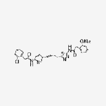 COc1ccccc1CC(=O)Nc1nnc(CCC#Cc2ccc(NC(=O)Cc3ccccc3Cl)nc2)s1